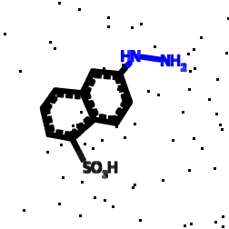 NNc1ccc2c(S(=O)(=O)O)cccc2c1